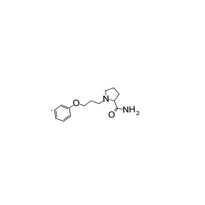 NC(=O)C1CCCN1CCCOc1c[c]ccc1